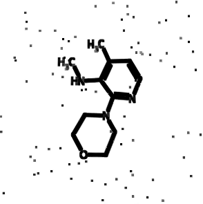 CNc1c(C)ccnc1N1CCOCC1